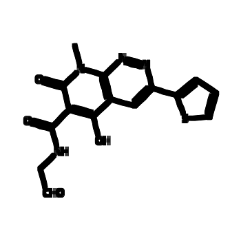 Cn1c(=O)c(C(=O)NCC=O)c(O)c2cc(-c3cccs3)nnc21